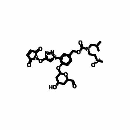 CC(C)CN(CC[S+](C)[O-])C(=O)OCc1ccc(OC2CC(O)CC(C=O)O2)c(-n2cc(ON3C(=O)C=CC3=O)nn2)c1